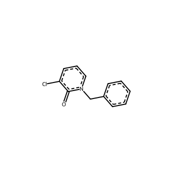 O=c1c(Cl)cccn1Cc1ccccc1